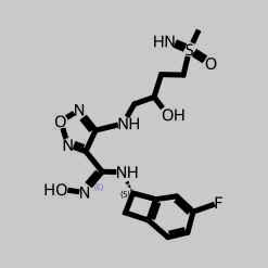 CS(=N)(=O)CCC(O)CNc1nonc1/C(=N\O)N[C@H]1Cc2ccc(F)cc21